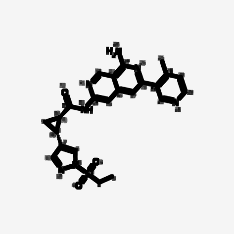 CCS(=O)(=O)n1cc([C@@H]2C[C@H]2C(=O)Nc2cc3cc(-c4cnccc4C)nc(N)c3cn2)cn1